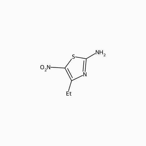 CCc1nc(N)sc1[N+](=O)[O-]